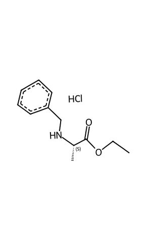 CCOC(=O)[C@H](C)NCc1ccccc1.Cl